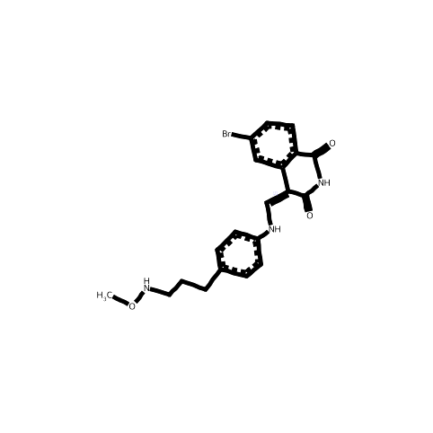 CONCCCc1ccc(N/C=C2\C(=O)NC(=O)c3ccc(Br)cc32)cc1